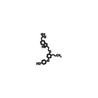 CCCc1cc(Oc2ccc(O)cc2)ccc1OCCc1cc2cc(CC(=O)O)ccc2[nH]1